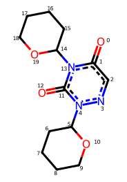 O=c1cnn(C2CCCCO2)c(=O)n1C1CCCCO1